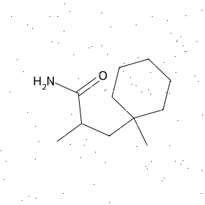 CC(CC1(C)CCCCC1)C(N)=O